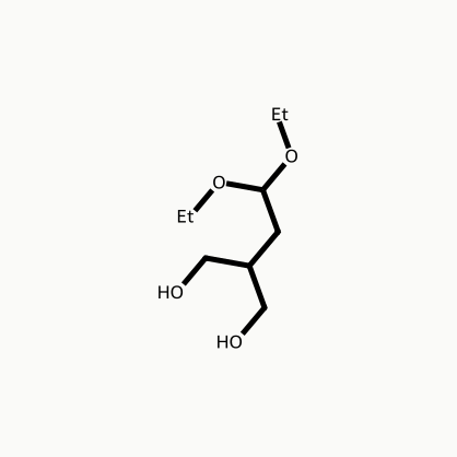 CCOC(CC(CO)CO)OCC